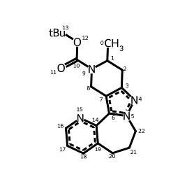 CC1Cc2nn3c(c2CN1C(=O)OC(C)(C)C)-c1ncccc1CCC3